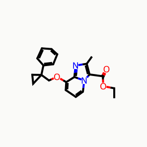 CCOC(=O)c1c(C)nc2c(OCC3(c4ccccc4)CC3)cccn12